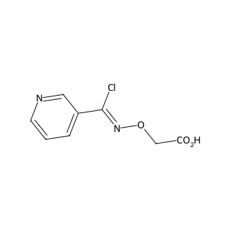 O=C(O)CON=C(Cl)c1cccnc1